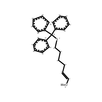 CO/C=C/CCCCSC(c1ccccc1)(c1ccccc1)c1ccccc1